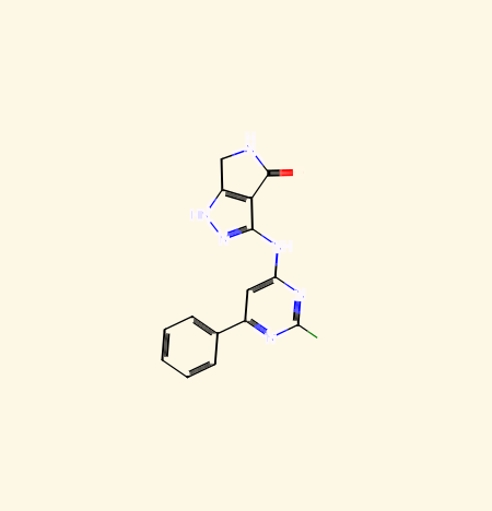 O=C1NCc2[nH]nc(Nc3cc(-c4ccccc4)nc(Cl)n3)c21